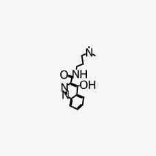 CN(C)CCCNC(=O)c1nnc2ccccc2c1O